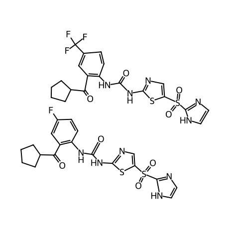 O=C(Nc1ncc(S(=O)(=O)c2ncc[nH]2)s1)Nc1ccc(C(F)(F)F)cc1C(=O)C1CCCC1.O=C(Nc1ncc(S(=O)(=O)c2ncc[nH]2)s1)Nc1ccc(F)cc1C(=O)C1CCCC1